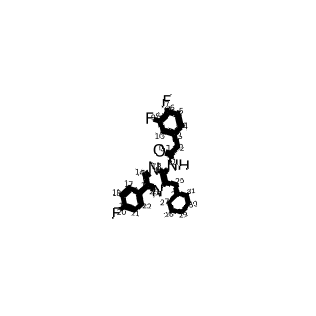 O=C(Cc1ccc(F)c(F)c1)Nc1ncc(-c2ccc(F)cc2)nc1CC1CCCCC1